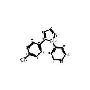 Clc1ccc(-c2ccnn2-c2ccccc2)cc1